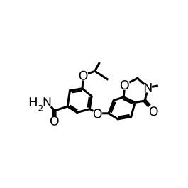 CC(C)Oc1cc(Oc2ccc3c(c2)OCN(C)C3=O)cc(C(N)=O)c1